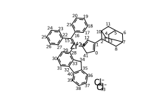 C1=C(C2C3CC4CC(C3)CC2C4)C=[C]([Zr+2](=[C](c2ccccc2)c2ccccc2)[c]2cccc3c2Cc2ccccc2-3)C1.[Cl-].[Cl-]